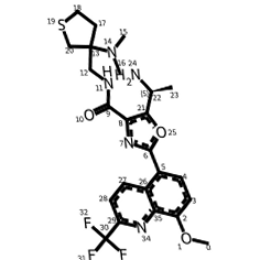 COc1ccc(-c2nc(C(=O)NCC3(N(C)C)CCSC3)c([C@H](C)N)o2)c2ccc(C(F)(F)F)nc12